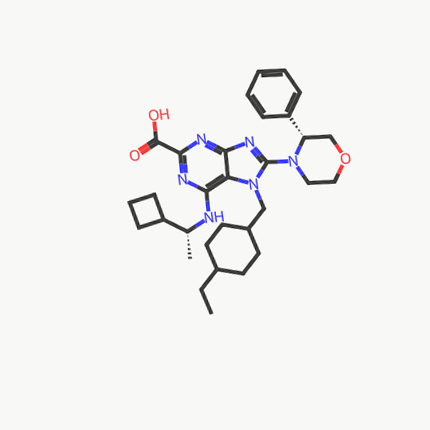 CCC1CCC(Cn2c(N3CCOC[C@H]3c3ccccc3)nc3nc(C(=O)O)nc(N[C@H](C)C4CCC4)c32)CC1